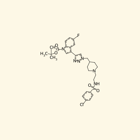 CC(C)(C)OC(=O)n1cc(-c2cn(CC3CCN(CCNS(=O)(=O)c4ccc(Cl)cc4)CC3)nn2)c2cc(F)ccc21